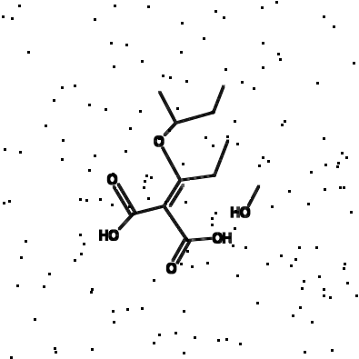 CCC(OC(C)CC)=C(C(=O)O)C(=O)O.CO